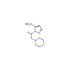 CC(CN1CCOCC1)n1nccc1C(=O)O